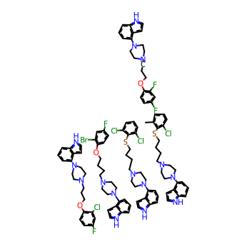 Cc1cccc(Cl)c1SCCCCN1CCN(c2cccc3[nH]ccc23)CC1.Clc1cccc(Cl)c1SCCCCN1CCN(c2cccc3[nH]ccc23)CC1.Fc1ccc(OCCCCN2CCN(c3cccc4[nH]ccc34)CC2)c(Br)c1.Fc1ccc(OCCCN2CCN(c3cccc4[nH]ccc34)CC2)c(Cl)c1.Fc1ccc(OCCCN2CCN(c3cccc4[nH]ccc34)CC2)c(F)c1